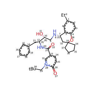 CCc1ccc2c(c1)[C@@H](NC[C@@H](O)[C@H](Cc1ccccc1)NC(=O)c1ccc(=O)n(CC(C)(C)C)c1)CC1(CCCC1)O2